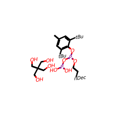 CCCCCCCCCCCCOP(Oc1c(C(C)(C)C)cc(C)cc1C(C)(C)C)OP(O)O.OCC(CO)(CO)CO